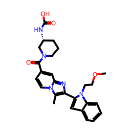 COCCn1c(-c2nc3cc(C(=O)N4CCC[C@@H](NC(=O)O)C4)ccn3c2C)cc2ccccc21